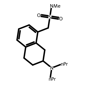 CCCN(CCC)C1CCc2cccc(CS(=O)(=O)NC)c2C1